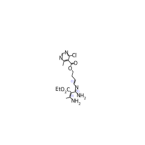 CCOC(=O)C(/C(N)=N\C=C\CCOC(=O)c1c(C)ncnc1Cl)=C(\C)N